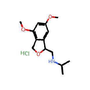 COc1cc(OC)c2c(c1)C(CNC(C)C)OC2.Cl